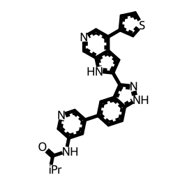 CC(C)C(=O)Nc1cncc(-c2ccc3[nH]nc(-c4cc5c(-c6ccsc6)cncc5[nH]4)c3c2)c1